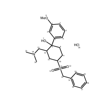 COc1cccc(C2(O)CCC(S(=O)(=O)Cc3ccccc3)CC2CN(C)C)c1.Cl